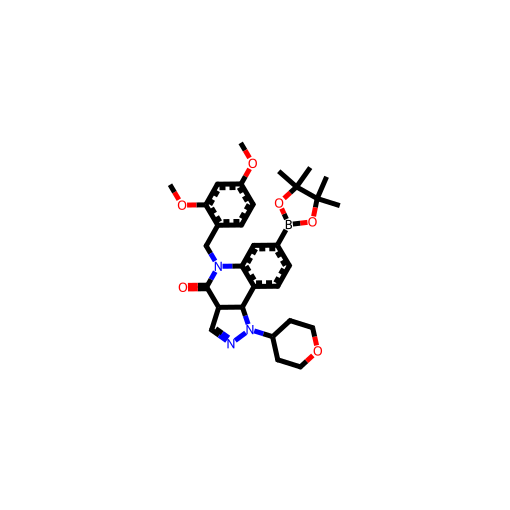 COc1ccc(CN2C(=O)C3C=NN(C4CCOCC4)C3c3ccc(B4OC(C)(C)C(C)(C)O4)cc32)c(OC)c1